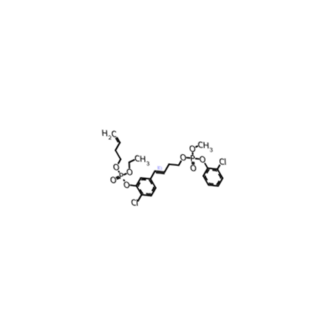 C=CCCOP(=O)(OCC)Oc1cc(/C=C/CCOP(=O)(OC)Oc2ccccc2Cl)ccc1Cl